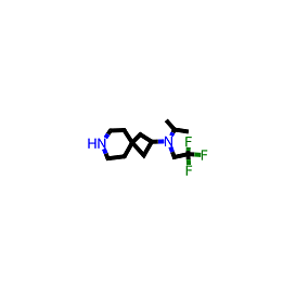 CC(C)N(CC(F)(F)F)C1CC2(CCNCC2)C1